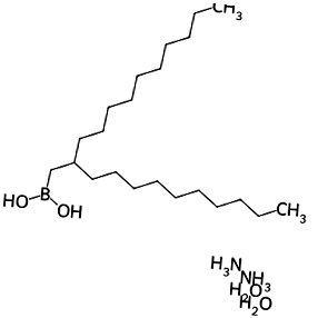 CCCCCCCCCCC(CCCCCCCCCC)CB(O)O.N.N.O.O